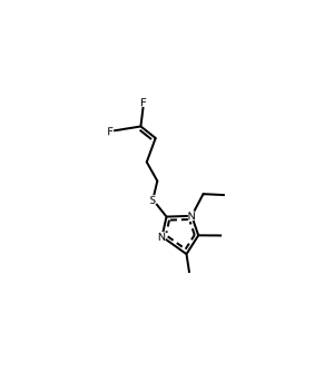 CCn1c(SCCC=C(F)F)nc(C)c1C